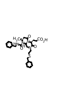 CN1CC(=O)N2[C@@H](CCC(=O)O)C(=O)N(CCSCc3ccccc3)C[C@@H]2N1C(=O)NCc1ccccc1